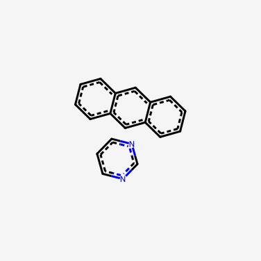 c1ccc2cc3ccccc3cc2c1.c1cncnc1